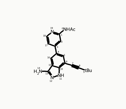 CC(=O)Nc1cc(-c2cc(C#CC(C)(C)C)c3[nH]nc(N)c3c2)ccn1